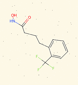 O=C(C[CH]Cc1ccccc1C(F)(F)F)NO